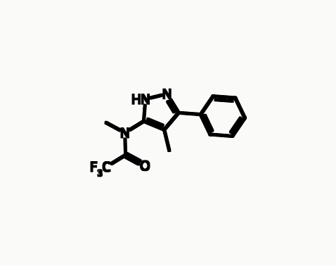 Cc1c(-c2ccccc2)n[nH]c1N(C)C(=O)C(F)(F)F